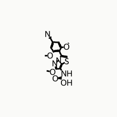 COc1cc(C#N)cc(OC)c1-c1csc2c(NC(=O)O)c(OC)nn12